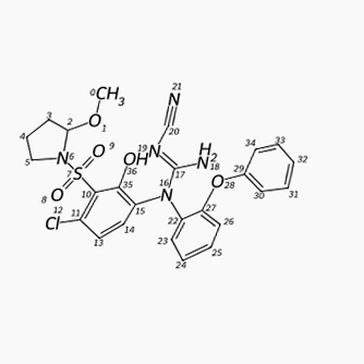 COC1CCCN1S(=O)(=O)c1c(Cl)ccc(N(C(N)=NC#N)c2ccccc2Oc2ccccc2)c1O